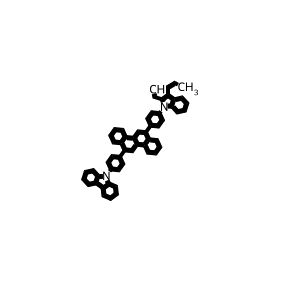 C=Cc1c(/C=C\C)c2ccccc2n1-c1ccc(-c2cc3c4ccccc4c(-c4ccc(-n5c6ccccc6c6ccccc65)cc4)cc3c3ccccc23)cc1